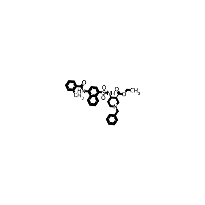 CCOC(=O)[C@H]1CN(Cc2ccccc2)CC[C@H]1NS(=O)(=O)c1ccc(NC(=O)c2ccccc2C)c2ccccc12